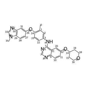 Cc1cc(Nc2ncnc3ccc(OC4CCOCC4)cc23)ccc1Oc1ccc2c(c1)ncn2C